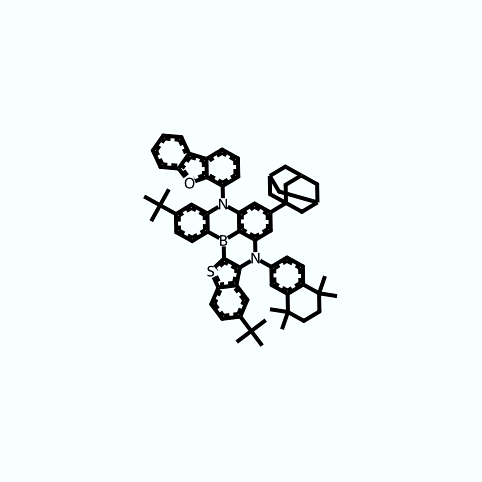 CC(C)(C)c1ccc2c(c1)N(c1cccc3c1oc1ccccc13)c1cc(C34CC5CC(CC(C5)C3)C4)cc3c1B2c1sc2ccc(C(C)(C)C)cc2c1N3c1ccc2c(c1)C(C)(C)CCC2(C)C